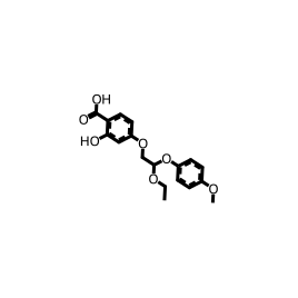 CCOC(COc1ccc(C(=O)O)c(O)c1)Oc1ccc(OC)cc1